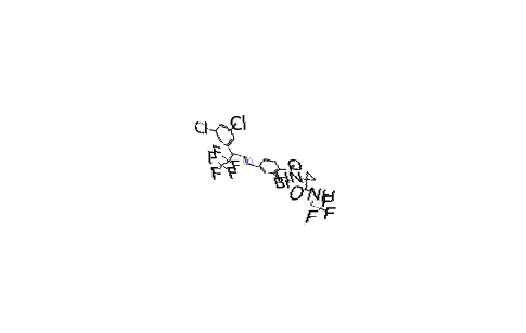 O=C(NC1(C(=O)NCC(F)(F)F)CC1)c1ccc(/C=C/C(c2cc(Cl)cc(Cl)c2)C(F)(F)C(F)(F)F)cc1Br